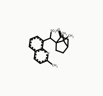 Cc1ccc2cccc(C(C34CCC(CC3=O)C4(C)C)S(=O)(=O)O)c2n1